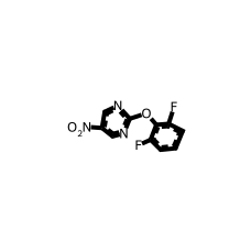 O=[N+]([O-])c1cnc(Oc2c(F)cccc2F)nc1